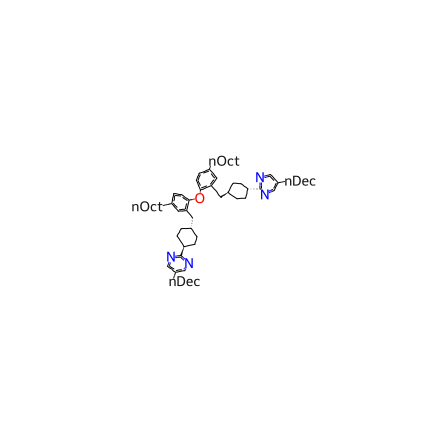 CCCCCCCCCCc1cnc([C@H]2CC[C@H](Cc3cc(CCCCCCCC)ccc3Oc3ccc(CCCCCCCC)cc3C[C@H]3CC[C@H](c4ncc(CCCCCCCCCC)cn4)CC3)CC2)nc1